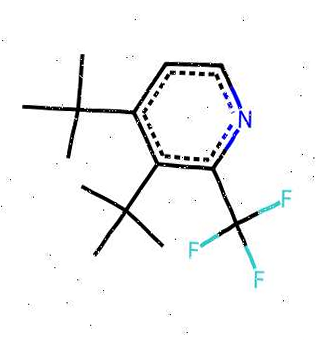 CC(C)(C)c1ccnc(C(F)(F)F)c1C(C)(C)C